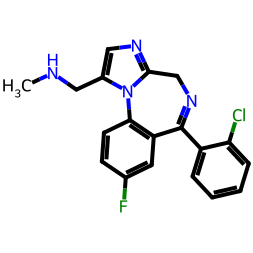 CNCc1cnc2n1-c1ccc(F)cc1C(c1ccccc1Cl)=NC2